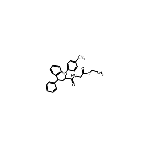 CCOC(=O)CNC(=O)C(CC(c1ccccc1)c1ccccc1)Nc1ccc(C)cc1